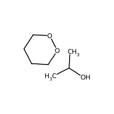 C1CCOOC1.CC(C)O